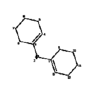 C1=C([P]C2=CCCCC2)CCCC1